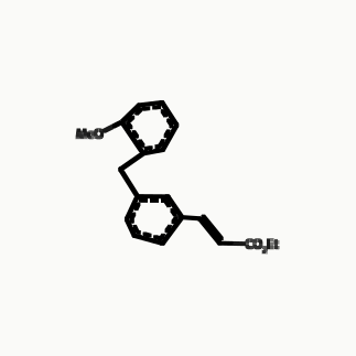 CCOC(=O)/C=C/c1cccc(Cc2ccccc2OC)c1